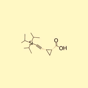 CC(C)[Si](C#C[C@H]1C[C@H]1C(=O)O)(C(C)C)C(C)C